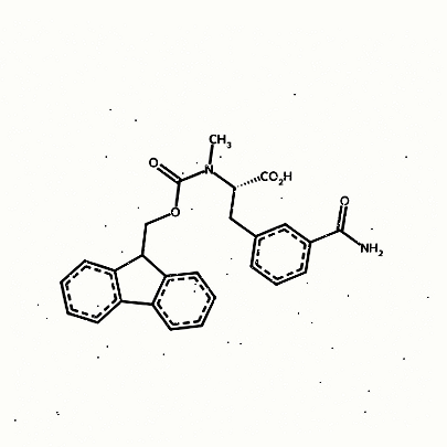 CN(C(=O)OCC1c2ccccc2-c2ccccc21)[C@@H](Cc1cccc(C(N)=O)c1)C(=O)O